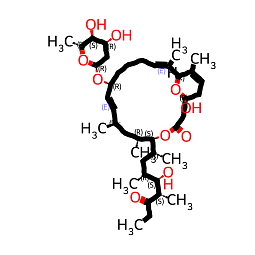 CCC(=O)[C@@H](C)[C@@H](O)[C@H](C)C[C@@H](C)[C@H]1OC(=O)C[C@@]2(O)CC=C(C)[C@H](O2)/C(C)=C/CCC[C@@H](O[C@H]2C[C@@H](O)[C@H](O)[C@@H](C)O2)/C=C/[C@H](C)C[C@H]1C